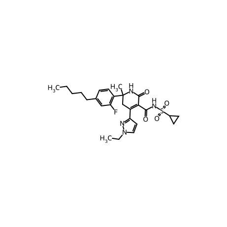 CCCCCc1ccc(C2(C)CC(c3ccn(CC)n3)=C(C(=O)NS(=O)(=O)C3CC3)C(=O)N2)c(F)c1